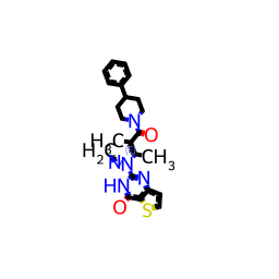 C=NN(/C(C)=C(\C)C(=O)N1CCC(c2ccccc2)CC1)c1nc2ccsc2c(=O)[nH]1